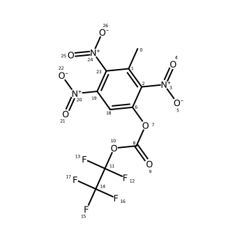 Cc1c([N+](=O)[O-])c(OC(=O)OC(F)(F)C(F)(F)F)cc([N+](=O)[O-])c1[N+](=O)[O-]